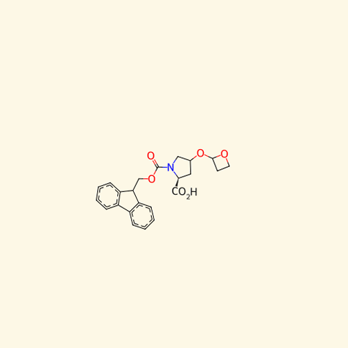 O=C(O)[C@@H]1CC(OC2CCO2)CN1C(=O)OCC1c2ccccc2-c2ccccc21